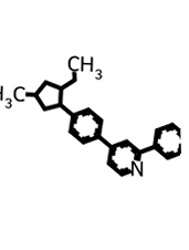 CCC1CC(C)CC1c1ccc(-c2ccnc(-c3ccccc3)c2)cc1